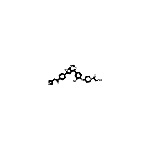 N#Cc1cc(-c2ncnc3[nH]c(C4C=CC(C(=O)CC5COC5)=CC4)cc23)ccc1OC1CCN(C(=O)CO)CC1